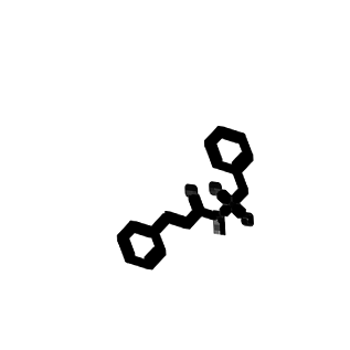 O=C(/C=C/c1ccccc1)NS(=O)(=O)Cc1ccccc1